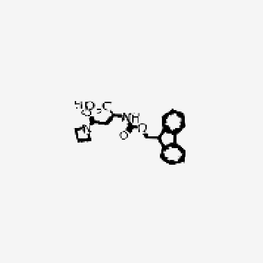 O=C(N[C@@H](CC(=O)N1CCC1)C(=O)O)OCC1c2ccccc2-c2ccccc21